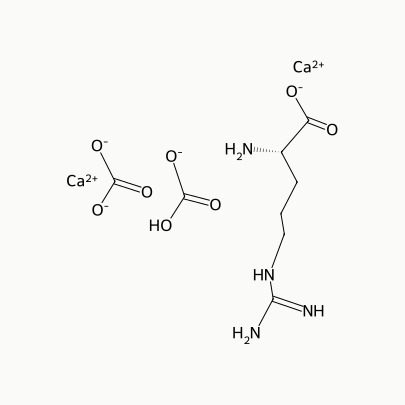 N=C(N)NCCC[C@H](N)C(=O)[O-].O=C([O-])O.O=C([O-])[O-].[Ca+2].[Ca+2]